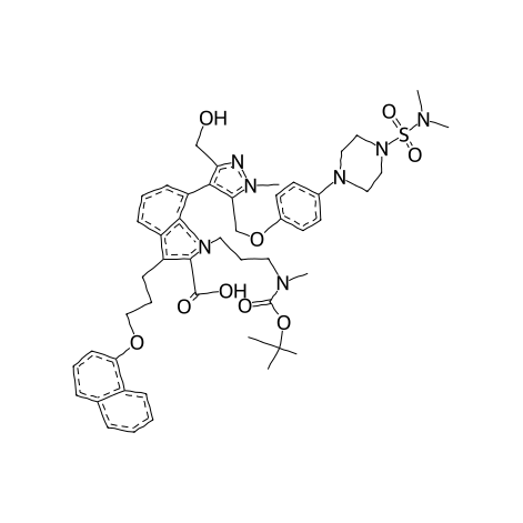 CN(CCCn1c(C(=O)O)c(CCCOc2cccc3ccccc23)c2cccc(-c3c(CO)nn(C)c3COc3ccc(N4CCN(S(=O)(=O)N(C)C)CC4)cc3)c21)C(=O)OC(C)(C)C